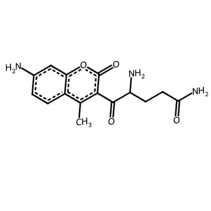 Cc1c(C(=O)C(N)CCC(N)=O)c(=O)oc2cc(N)ccc12